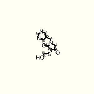 O=C1CN(Cc2cncnc2)C(=O)N1CCO